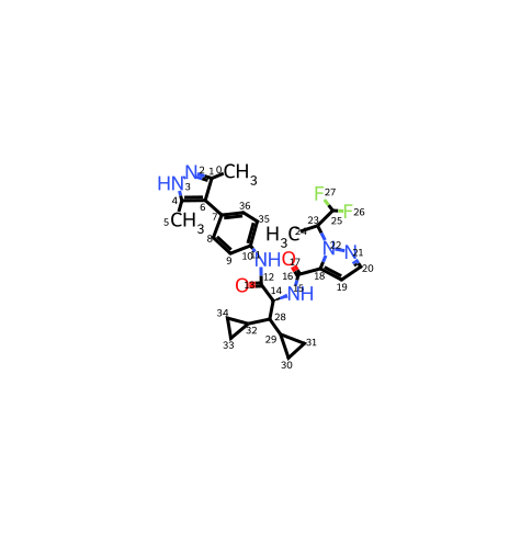 Cc1n[nH]c(C)c1-c1ccc(NC(=O)[C@@H](NC(=O)c2ccnn2C(C)C(F)F)C(C2CC2)C2CC2)cc1